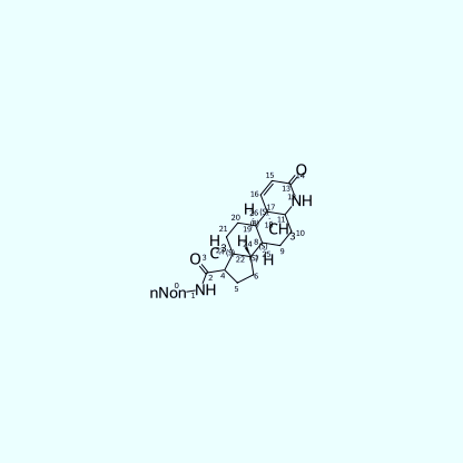 CCCCCCCCCNC(=O)C1CC[C@H]2[C@@H]3CCC4NC(=O)C=C[C@]4(C)[C@@H]3CC[C@]12C